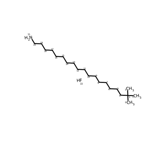 CC(C)(C)CCCCCCCCCCCCCCCCCN.F